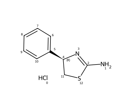 Cl.NC1=N[C@H](c2ccccc2)CS1